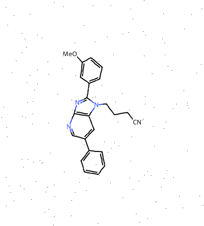 COc1cccc(-c2nc3ncc(-c4ccccc4)cc3n2CCCC#N)c1